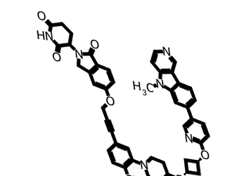 Cc1ccc(C#CCOc2ccc3c(c2)CN(C2CCC(=O)NC2=O)C3=O)cc1N1CCC(O[C@H]2C[C@H](Oc3ccc(-c4ccc5c6cnccc6n(C)c5c4)cn3)C2)CC1